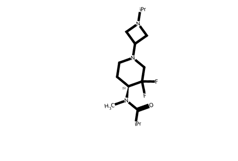 CC(C)C(=O)N(C)[C@H]1CCN(C2CN(C(C)C)C2)CC1(F)F